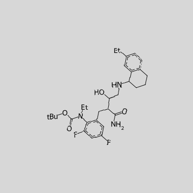 CCc1ccc2c(c1)C(NCC(O)C(Cc1cc(F)cc(F)c1N(CC)C(=O)OC(C)(C)C)C(N)=O)CCC2